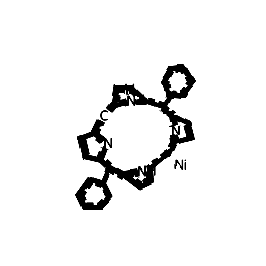 C1=Cc2nc1cc1ccc([nH]1)c(-c1ccccc1)c1nc(cc3ccc([nH]3)c2-c2ccccc2)C=C1.[Ni]